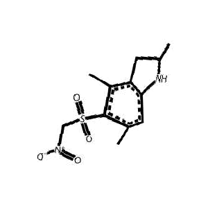 Cc1cc2c(c(C)c1S(=O)(=O)C[N+](=O)[O-])CC(C)N2